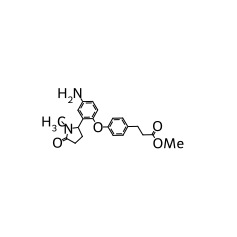 COC(=O)CCc1ccc(Oc2ccc(N)cc2C2CCC(=O)N2C)cc1